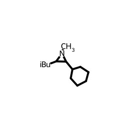 CCC(C)C1C(C2CCCCC2)N1C